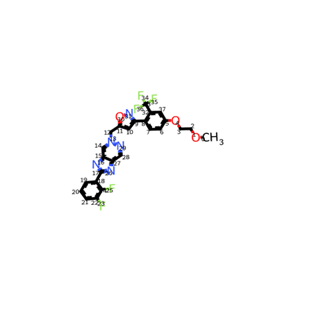 COCCOc1ccc(-c2cc(Cn3cc4nc(-c5cccc(F)c5F)nc-4cn3)on2)c(C(F)(F)F)c1